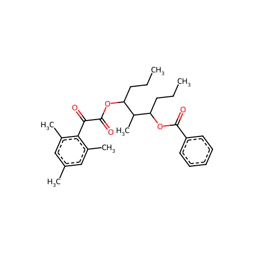 CCCC(OC(=O)C(=O)c1c(C)cc(C)cc1C)C(C)C(CCC)OC(=O)c1ccccc1